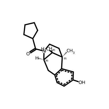 C[C@H]1[C@H]2Cc3ccc(O)cc3[C@]1(C)CCN2C(=O)C1CCCC1